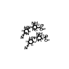 COC(=O)c1cnc(Nc2ccc(C#N)cc2)c(N)c1.COC(=O)c1cnc(Nc2ccc(C#N)nc2)c(N)c1